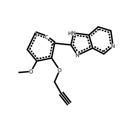 C#CCOc1c(OC)cccc1-c1nc2cnccc2[nH]1